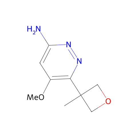 COc1cc(N)nnc1C1(C)COC1